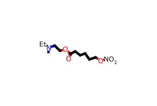 CCN(C)CCOC(=O)CCCCCO[N+](=O)[O-]